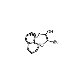 CCCCC(O)=C(O)C(=O)O.c1ccc2ncccc2c1